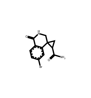 NC(=O)C1CC12CNC(=O)c1ccc(Br)cc12